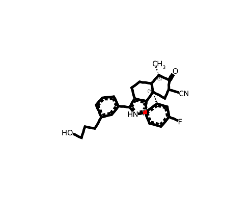 C[C@@H]1C(=O)C(C#N)C[C@@]2(c3cccc(F)c3)c3n[nH]c(-c4cccc(CCCO)c4)c3CCC12